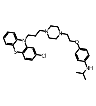 CC(C)Nc1ccc(OCCN2CCN(CCCN3c4ccccc4Sc4ccc(Cl)cc43)CC2)cc1